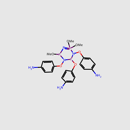 COP1N=P(OC)(OC)N(Oc2ccc(N)cc2)P(Oc2ccc(N)cc2)N1Oc1ccc(N)cc1